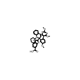 COc1ccc(-c2cnc(OC)nc2OC)c(C2(c3nc4cc(C(=O)O)ccc4[nH]3)C=Cc3ccccc3N2C2CCCCC2)c1